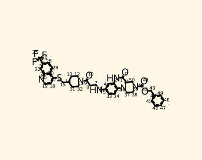 O=C1Nc2cc(NCCC(=O)N3CCC(CSc4ccnc5cc(C(F)(F)F)ccc45)CC3)ccc2N2CCN(C(=O)OCc3ccccc3)CC12